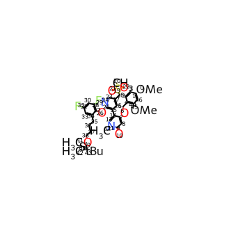 COc1ccc(COc2cc(=O)n(C)cc2-c2cc(CS(C)(=O)=O)cnc2Oc2c(F)cc(F)cc2CCCCO[Si](C)(C)C(C)(C)C)c(OC)c1